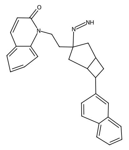 N=NC1(CCn2c(=O)ccc3ccccc32)CC2CC(c3ccc4ccccc4c3)C2C1